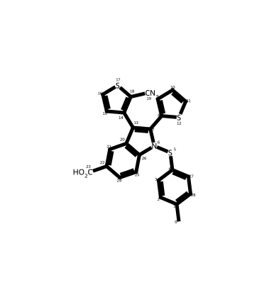 Cc1ccc(Sn2c(-c3cccs3)c(-c3ccsc3C#N)c3cc(C(=O)O)ccc32)cc1